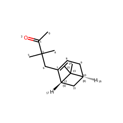 CC(=O)C(C)(C)CC1=CC[C@H]2C[C@H]1C2(C)C